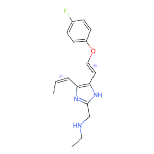 C/C=C\c1nc(CNCC)[nH]c1/C=C/Oc1ccc(F)cc1